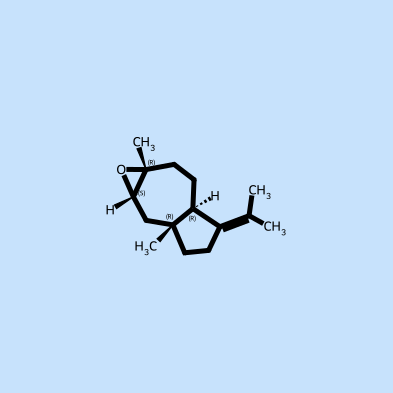 CC(C)=C1CC[C@]2(C)C[C@@H]3O[C@]3(C)CC[C@@H]12